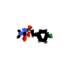 CN(C)C(=O)NS(=O)(=O)C=Cc1ccc(Cl)cc1